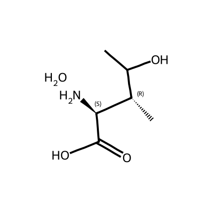 CC(O)[C@H](C)[C@H](N)C(=O)O.O